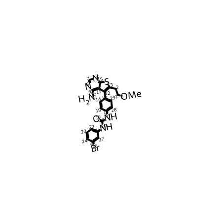 COCCc1sc2ncnc(N)c2c1-c1ccc(NC(=O)Nc2cccc(Br)c2)cc1